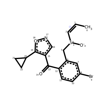 C/C=C\[S+]([O-])Cc1cc(Br)ccc1C(=O)c1cnoc1C1CC1